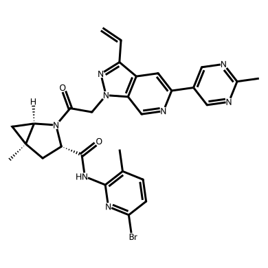 C=Cc1nn(CC(=O)N2[C@H](C(=O)Nc3nc(Br)ccc3C)C[C@@]3(C)C[C@@H]23)c2cnc(-c3cnc(C)nc3)cc12